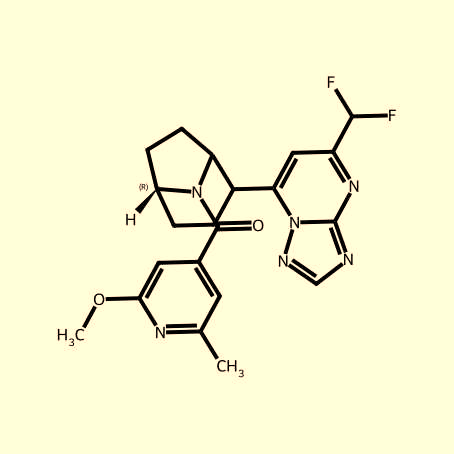 COc1cc(C(=O)N2C3CC[C@H]2CCC3c2cc(C(F)F)nc3ncnn23)cc(C)n1